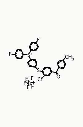 Cc1ccc(C(=O)c2ccc(Sc3ccc([S+](c4ccc(F)cc4)c4ccc(F)cc4)cc3)c(Cl)c2)cc1.[F][Sb-]([F])([F])([F])([F])[F]